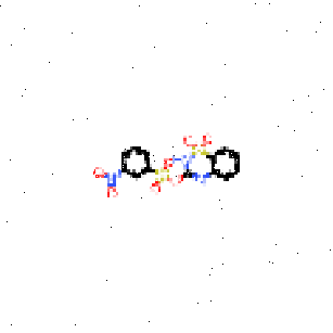 O=[N+]([O-])c1cccc(S(=O)(=O)OC2=Nc3ccccc3S(=O)(=O)N2)c1